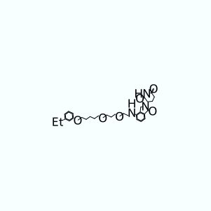 CCc1cccc(OCCCCCOCCCOCCNc2cccc3c2CN(C2CCC(=O)NC2=O)C3=O)c1